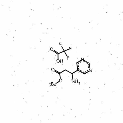 CC(C)(C)OC(=O)CC(N)c1cncnc1.O=C(O)C(F)(F)F